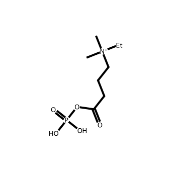 CC[N+](C)(C)CCCC(=O)OP(=O)(O)O